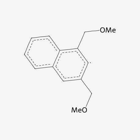 COCc1[c]c(COC)c2ccccc2c1